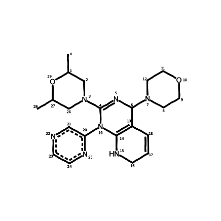 CC1CN(C2=NC(N3CCOCC3)C3=C(NCC=C3)N2c2cnccn2)CC(C)O1